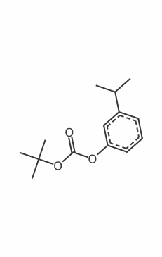 C[C](C)c1cccc(OC(=O)OC(C)(C)C)c1